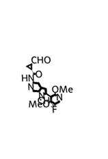 COc1ncc(F)c(OC)c1-c1cc2cc(NC(=O)[C@@H]3C[C@H]3C=O)ncc2n1C